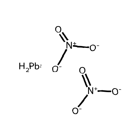 O=[N+]([O-])[O-].O=[N+]([O-])[O-].[PbH2]